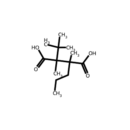 CCCC(C)(C(=O)O)C(C)(C(=O)O)C(C)(C)C